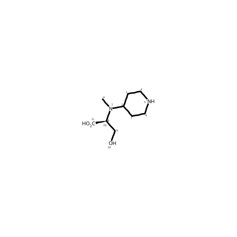 CN(C1CCNCC1)[C@@H](CO)C(=O)O